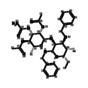 CC[C@@H]1OC(OCc2ccccc2)[C@@H](OC2O[C@H](C)[C@@H](OC(C)=O)[C@H](OC(N)=O)[C@@H]2OC(C)=O)[C@@H](OCc2ccccc2)[C@@H]1C